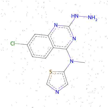 CN(c1cncs1)c1nc(NN)nc2cc(Cl)ccc12